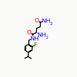 CC(C)c1ccc(CNC(=O)[C@@H](N)CCC(N)=O)c(F)c1